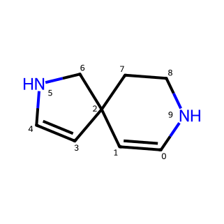 C1=CC2(C=CNC2)CCN1